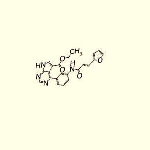 CCOC(=O)c1c[nH]c2ncnc(-c3cccc(NC(=O)C=Cc4ccco4)c3)c12